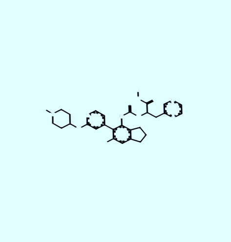 Cc1cc2c(c(NC(=O)OC(Cc3cnccn3)C(=O)OC(C)C)c1-c1ccnc(OC3CCN(C)CC3)c1)CCC2